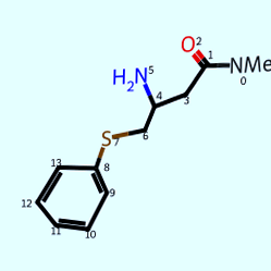 CNC(=O)CC(N)CSc1ccccc1